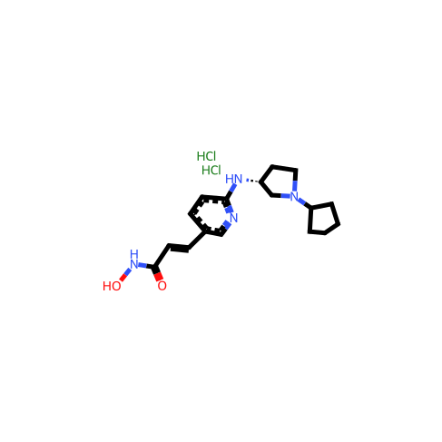 Cl.Cl.O=C(C=Cc1ccc(N[C@@H]2CCN(C3CCCC3)C2)nc1)NO